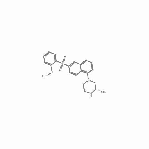 COc1ccccc1S(=O)(=O)c1cnc2c(N3CCN[C@@H](C)C3)cccc2c1